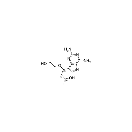 C[C@@H]([C@@H](C)O)[C@@H](OCCO)c1cnc2c(N)nc(N)nn12